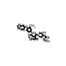 Cc1cc(Nc2ncnn3cc(F)c(CN4CCC(NC(=O)OC(C)(C)C)CC4)c23)ccc1Oc1ccn2ncnc2c1